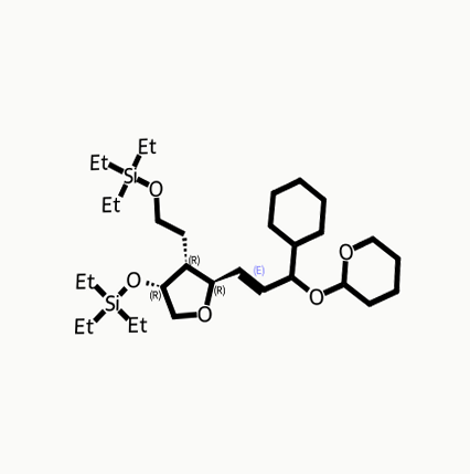 CC[Si](CC)(CC)OCC[C@H]1[C@@H](O[Si](CC)(CC)CC)CO[C@@H]1/C=C/C(OC1CCCCO1)C1CCCCC1